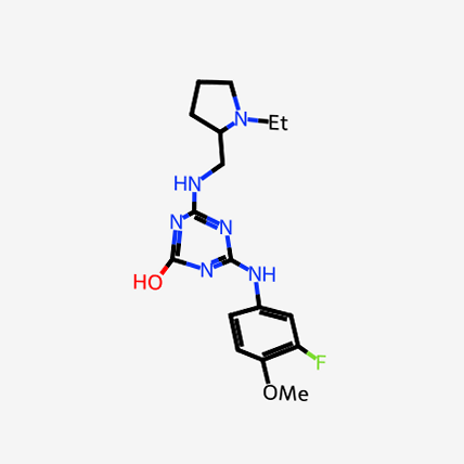 CCN1CCCC1CNc1nc(O)nc(Nc2ccc(OC)c(F)c2)n1